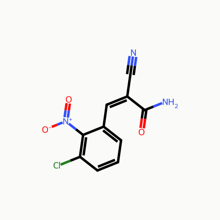 N#C/C(=C/c1cccc(Cl)c1[N+](=O)[O-])C(N)=O